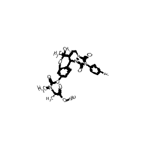 CC(=O)c1ccc(-n2c(=O)n3n(c2=O)C2C(=CC3)C(C)(C)Oc3cc(OC(=O)N(C)[C@@H](C)C(=O)OC(C)(C)C)ccc32)cc1